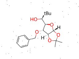 CC1(C)O[C@H]2O[C@H]([C@@H](O)C(C)(C)C)[C@@H](OCc3ccccc3)[C@@H]2O1